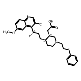 COc1ccc2ncc(Cl)c([C@@H](F)CC[C@@H]3CCN(CCSc4ccccc4)C[C@@H]3CC(=O)O)c2c1